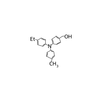 CCc1ccc(N(c2ccc(C)cc2)c2ccc(CO)cc2)cc1